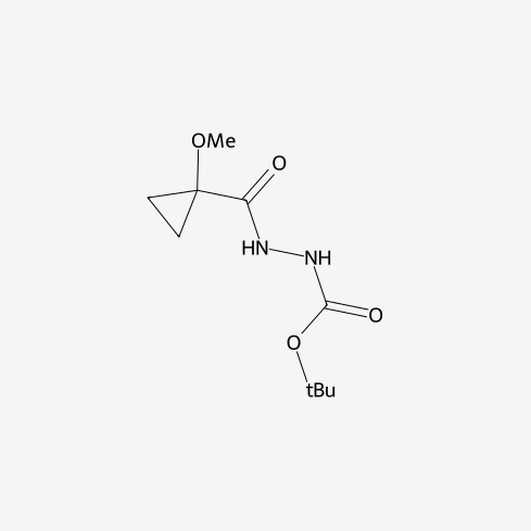 COC1(C(=O)NNC(=O)OC(C)(C)C)CC1